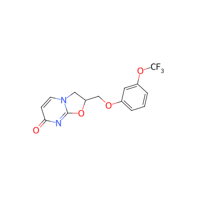 O=c1ccn2c(n1)OC(COc1cccc(OC(F)(F)F)c1)C2